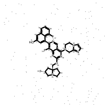 Oc1cc(-c2ncc3c(N4CCn5ccnc5C4)nc(OC[C@@]45CCCN4C[C@H](F)C5)nc3c2F)c2c(F)cccc2c1